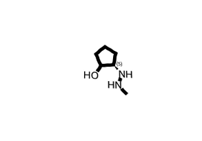 CNN[C@H]1CCCC1O